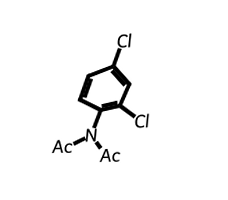 CC(=O)N(C(C)=O)c1ccc(Cl)cc1Cl